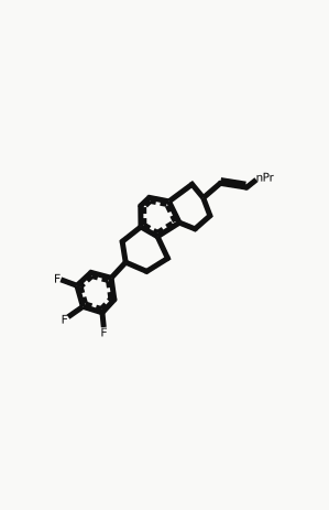 CCCC=CC1CCc2c(ccc3c2CCC(c2cc(F)c(F)c(F)c2)C3)C1